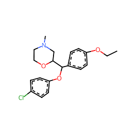 CCOc1ccc(C(Oc2ccc(Cl)cc2)C2CN(C)CCO2)cc1